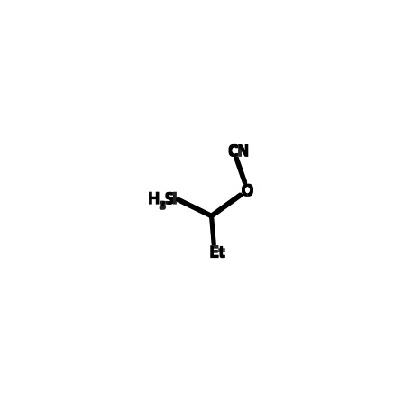 CCC([SiH3])OC#N